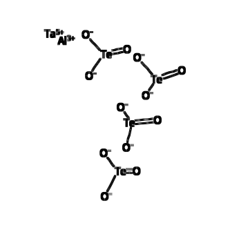 O=[Te]([O-])[O-].O=[Te]([O-])[O-].O=[Te]([O-])[O-].O=[Te]([O-])[O-].[Al+3].[Ta+5]